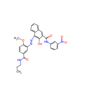 CCCNC(=O)c1ccc(OC)c(/N=N/c2c(O)c(C(=O)Nc3cccc([N+](=O)[O-])c3)cc3ccccc23)c1